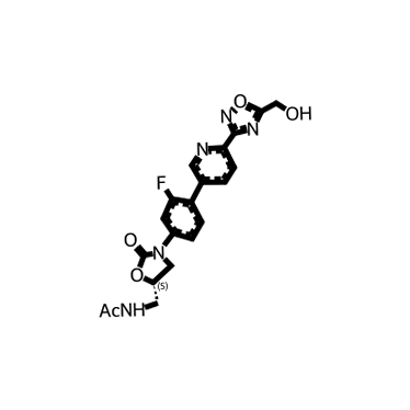 CC(=O)NC[C@H]1CN(c2ccc(-c3ccc(-c4noc(CO)n4)nc3)c(F)c2)C(=O)O1